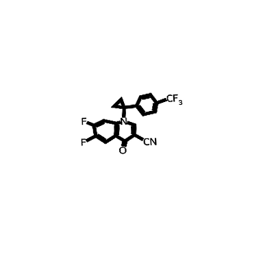 N#Cc1cn(C2(c3ccc(C(F)(F)F)cc3)CC2)c2cc(F)c(F)cc2c1=O